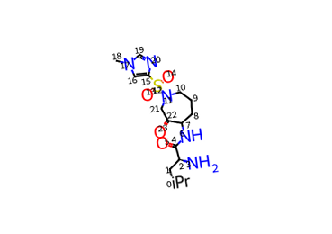 CC(C)C[C@H](N)C(=O)NC1CCCN(S(=O)(=O)c2cn(C)cn2)CC1=O